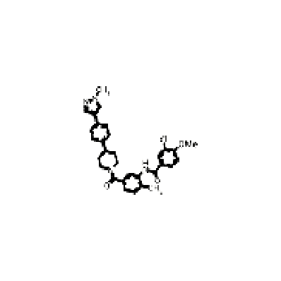 COc1ccc(C(=O)Nc2cc(C(=O)N3CCC(c4ccc(-c5cnn(C)c5)cc4)CC3)ccc2C)cc1Cl